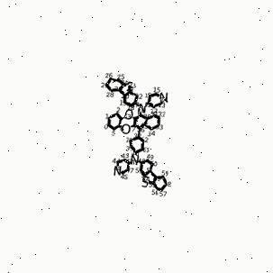 c1ccc2c(c1)Oc1c(c(N(c3ccncc3)c3ccc4c(c3)sc3ccccc34)c3ccccc3c1-c1ccc(N(c3ccncc3)c3ccc4c(c3)sc3ccccc34)cc1)O2